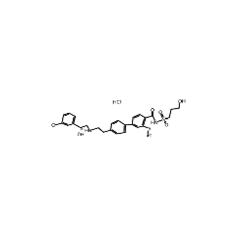 CC(C)Sc1cc(-c2ccc(CCNC[C@H](O)c3cccc(Cl)c3)cc2)ccc1C(=O)NS(=O)(=O)CCCO.Cl